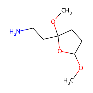 COC1CCC(CCN)(OC)O1